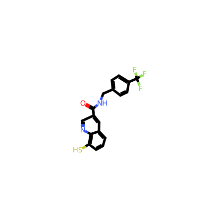 O=C(NCc1ccc(C(F)(F)F)cc1)c1cnc2c(S)cccc2c1